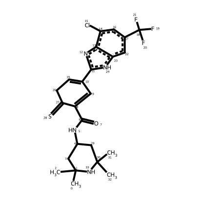 CC1(C)CC(NC(=O)C2=CC(c3nc4c(Cl)cc(C(F)(F)F)cc4[nH]3)=CCC2=S)CC(C)(C)N1